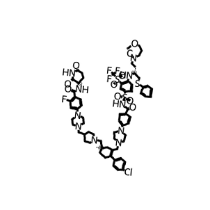 C[C@@]1(CN2CCC(CN3CCN(c4ccc(C(=O)N[C@H]5CCC(=O)NC5=O)c(F)c4)CC3)CC2)CCC(c2ccc(Cl)cc2)=C(CN2CCN(c3ccc(C(=O)NS(=O)(=O)c4ccc(N[C@H](CCN5CCCOCC5)CSc5ccccc5)c(S(=O)(=O)C(F)(F)F)c4)cc3)CC2)C1